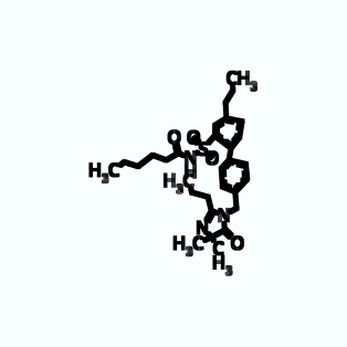 CCCCCC(=O)NS(=O)(=O)c1cc(CCC)ccc1-c1ccc(CN2C(=O)C(C)(C)N=C2CCC)cc1